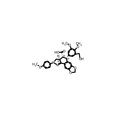 COc1ccc(N2C[C@@H]3C(=N2)c2cc4c(cc2[C@@H](c2cc(CO)c(OC)c(OC)c2)[C@H]3C(=O)O)OCO4)cc1